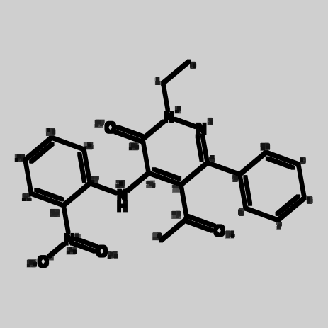 CCn1nc(-c2ccccc2)c(C(C)=O)c(Nc2ccccc2[N+](=O)[O-])c1=O